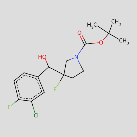 CC(C)(C)OC(=O)N1CCC(F)(C(O)c2ccc(F)c(Cl)c2)C1